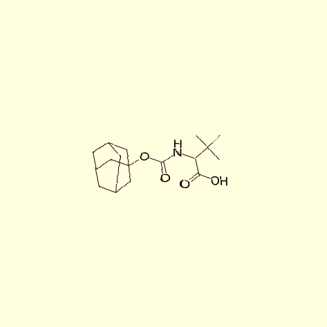 CC(C)(C)C(NC(=O)OC12CC3CC(CC(C3)C1)C2)C(=O)O